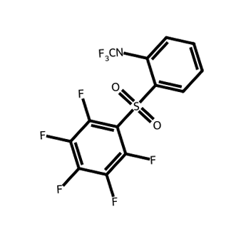 O=S(=O)(c1ccccc1NC(F)(F)F)c1c(F)c(F)c(F)c(F)c1F